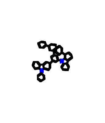 c1ccc(-c2cccc(-c3cc(-c4ccc5c(c4)c4ccccc4n5-c4ccccc4)cc(-n4c5ccccc5c5cccc(-c6ccccc6)c54)c3)c2)cc1